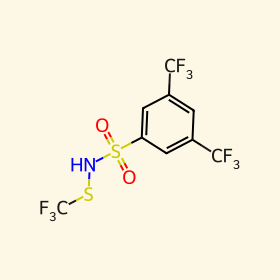 O=S(=O)(NSC(F)(F)F)c1cc(C(F)(F)F)cc(C(F)(F)F)c1